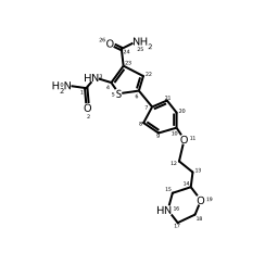 NC(=O)Nc1sc(-c2ccc(OCCC3CNCCO3)cc2)cc1C(N)=O